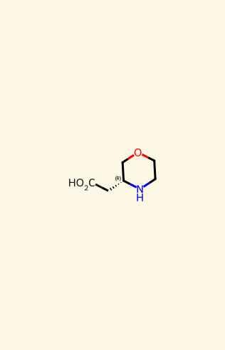 O=C(O)C[C@@H]1COCCN1